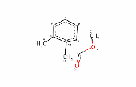 COC=O.Cc1ccccc1C